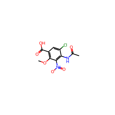 COc1c(C(=O)O)cc(Cl)c(NC(C)=O)c1[N+](=O)[O-]